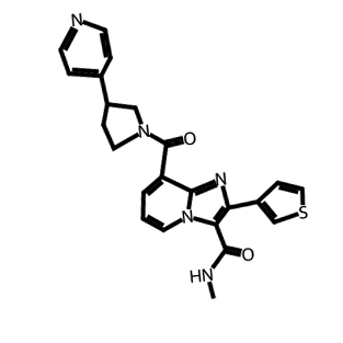 CNC(=O)c1c(-c2ccsc2)nc2c(C(=O)N3CCC(c4ccncc4)C3)cccn12